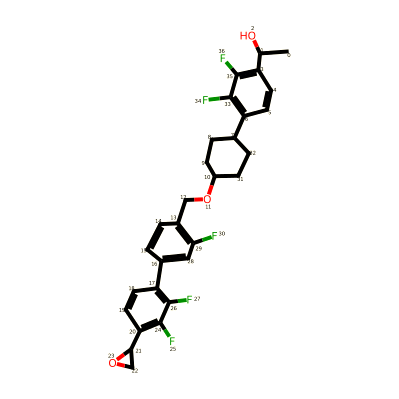 CC(O)c1ccc(C2CCC(OCc3ccc(-c4ccc(C5CO5)c(F)c4F)cc3F)CC2)c(F)c1F